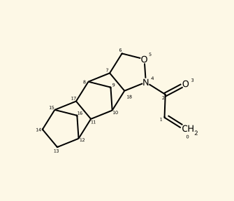 C=CC(=O)N1OCC2C3CC(C4C5CCC(C5)C34)C21